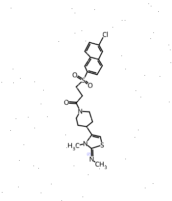 C/N=c1\scc(C2CCN(C(=O)CCS(=O)(=O)c3ccc4cc(Cl)ccc4c3)CC2)n1C